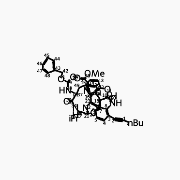 CCCCC#Cc1cccc2c1N[C@H]1Oc3ccc4cc3C21c1oc(nc1-c1nc(C(=O)OC)co1)[C@H](C(C)C)NC(=O)[C@@H](NC(=O)OCc1ccccc1)C4